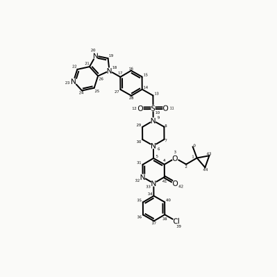 CC1(COc2c(N3CCN(S(=O)(=O)Cc4ccc(-n5cnc6cnccc65)cc4)CC3)cnn(-c3cccc(Cl)c3)c2=O)CC1